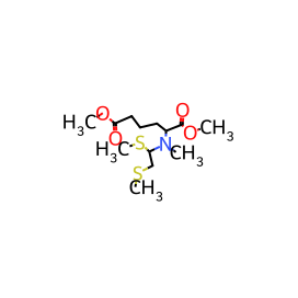 COC(=O)CCCC(C(=O)OC)N(C)C(CSC)SC